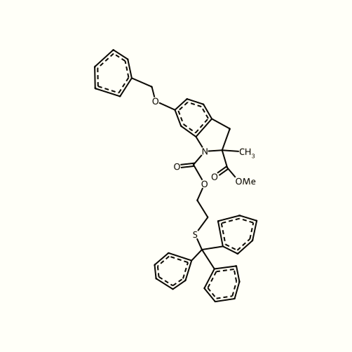 COC(=O)C1(C)Cc2ccc(OCc3ccccc3)cc2N1C(=O)OCCSC(c1ccccc1)(c1ccccc1)c1ccccc1